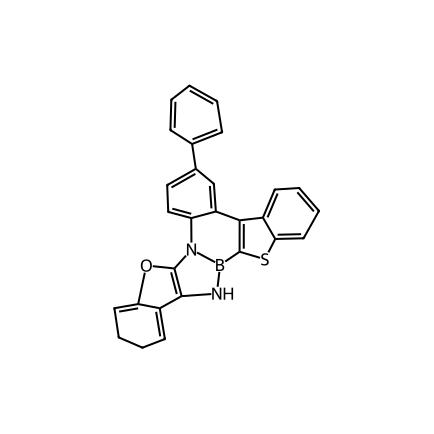 C1=c2oc3c(c2=CCC1)NB1c2sc4ccccc4c2-c2cc(-c4ccccc4)ccc2N13